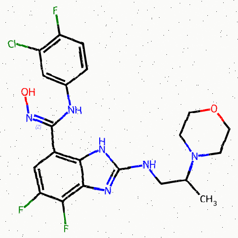 CC(CNc1nc2c(F)c(F)cc(/C(=N/O)Nc3ccc(F)c(Cl)c3)c2[nH]1)N1CCOCC1